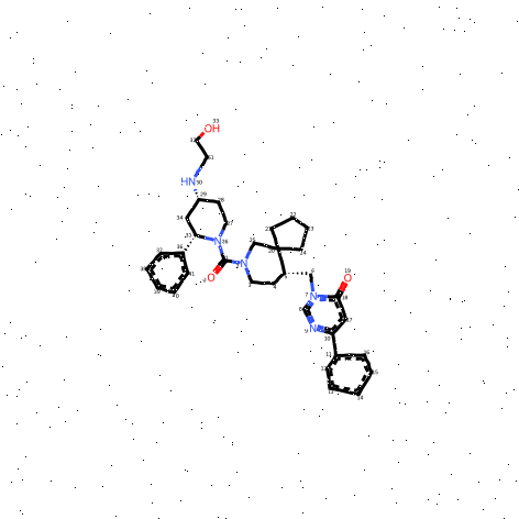 O=C(N1CC[C@@H](Cn2cnc(-c3ccccc3)cc2=O)C2(CCCC2)C1)N1CC[C@@H](NCCO)C[C@H]1c1ccccc1